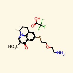 C[C@@H]1CCc2cc(SCCOCCN)cc3c(=O)c(C(=O)O)cn1c23.O=C(O)C(F)(F)F